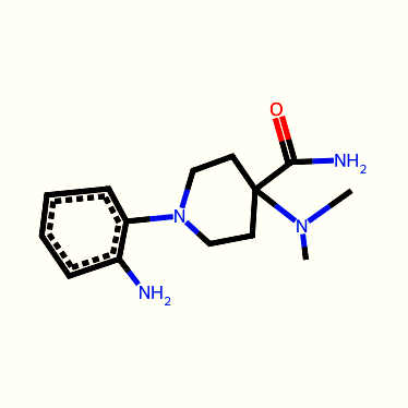 CN(C)C1(C(N)=O)CCN(c2ccccc2N)CC1